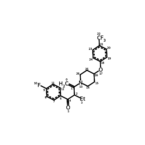 C=C(C(CC)C(=O)c1ccc(F)cc1)N1CCC(Oc2ccc(C(F)(F)F)cc2)CC1